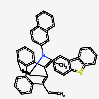 C=CC1=C2/C(=C\C)c3cccc(c3-c3ccccc31)-c1ccc(N(c3ccc4ccccc4c3)c3ccc4sc5ccccc5c4c3)cc12